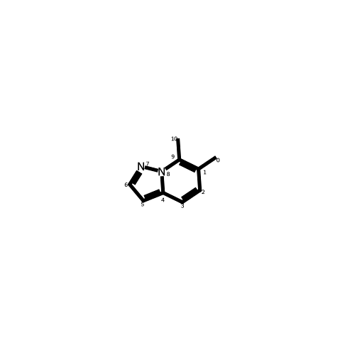 Cc1ccc2ccnn2c1C